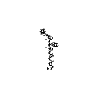 CC/C=C\C/C=C\C/C=C\C/C=C\C/C=C\C/C=C\CCC(=O)NCCN(CCNC(=O)C(C)(C)CCCOc1cc(C)ccc1C)CCN1CCOCC1